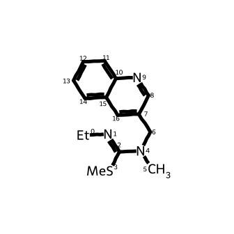 CCN=C(SC)N(C)Cc1cnc2ccccc2c1